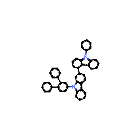 c1ccc(-c2ccc(-n3c4ccccc4c4ccc(-c5cccc6c5c5ccccc5n6-c5ccccc5)cc43)cc2-c2ccccc2)cc1